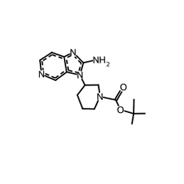 CC(C)(C)OC(=O)N1CCCC(n2c(N)nc3ccncc32)C1